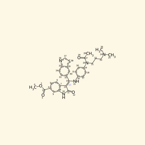 COC(=O)c1ccc2c(c1)NC(=O)/C2=C(\Nc1ccc(N(CCCN(C)C)C(C)=O)cc1)c1ccc2ncsc2c1